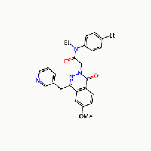 CCc1ccc(N(CC)C(=O)Cn2nc(Cc3cccnc3)c3cc(OC)ccc3c2=O)cc1